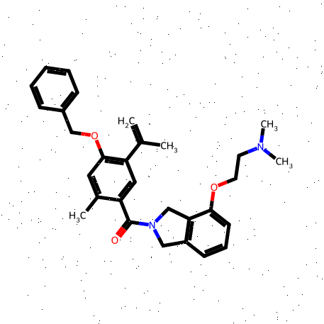 C=C(C)c1cc(C(=O)N2Cc3cccc(OCCN(C)C)c3C2)c(C)cc1OCc1ccccc1